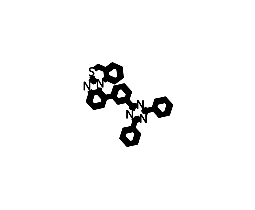 c1ccc(-c2nc(-c3ccccc3)nc(-c3cccc(-c4cccc5nc6n(c45)-c4ccccc4CS6)c3)n2)cc1